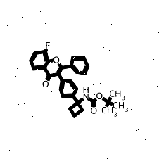 CC(C)(C)OC(=O)NC1(c2ccc(-c3c(-c4ccccc4)oc4c(F)cccc4c3=O)cc2)CCC1